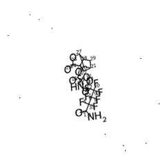 NC(=O)C(F)(F)C(F)(F)C(F)(F)S(=O)(=O)NS(=O)(=O)OC1C2CC3C(=O)OC1C3C2